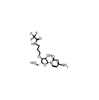 Nc1ccn([C@@H]2O[C@H](CO)[C@@H](OCCCNC(=O)C(F)(F)F)[C@H]2O)c(=O)n1